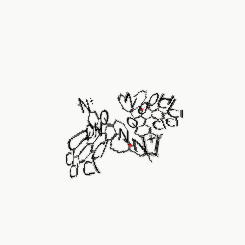 CC[N+]1=c2cc3c(cc2C(C)=CC1(C)CC1CCc2cc4c(-c5c(Cl)c(Cl)c(Cl)c(Cl)c5C(=O)O)c5ccc(=[N+](C)C)cc-5oc4c4c2N(CCC4)C1)=C(c1c(Cl)c(Cl)c(Cl)c(Cl)c1C(=O)O)c1cc2c4c(c1O3)CCCN4CCCC2